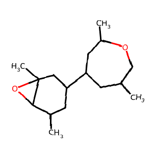 CC1COC(C)CC(C2CC(C)C3OC3(C)C2)C1